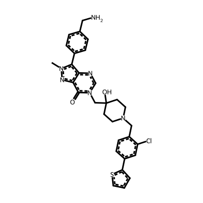 Cn1nc2c(=O)n(CC3(O)CCN(Cc4ccc(-c5cccs5)cc4Cl)CC3)cnc2c1-c1ccc(CN)cc1